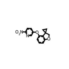 O=[N+]([O-])c1ccc(Oc2cccc3c2C2(CC2)CO3)cn1